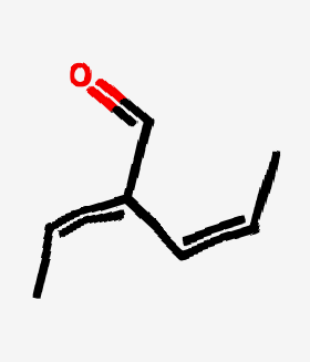 C/C=C\C(C=O)=C/C